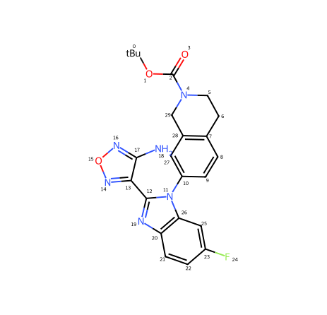 CC(C)(C)OC(=O)N1CCc2ccc(-n3c(-c4nonc4N)nc4ccc(F)cc43)cc2C1